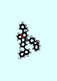 c1ccc(-c2ccc(-c3cccc4ccccc34)cc2N(c2ccc3c(c2)sc2ccccc23)c2ccc3sc4ccccc4c3c2)cc1